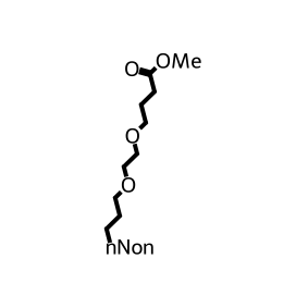 CCCCCCCCCCCCOCCOCCCC(=O)OC